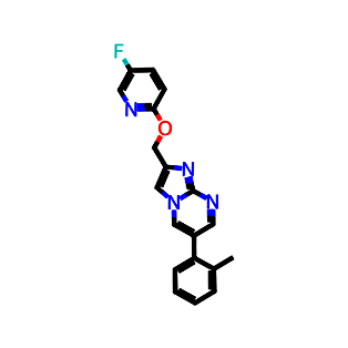 Cc1ccccc1-c1cnc2nc(COc3ccc(F)cn3)cn2c1